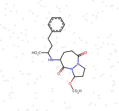 O=C(O)OC1CCN2C(=O)CCC(NC(CCc3ccccc3)C(=O)O)C(=O)N12